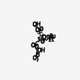 C=CC(=O)OCC(O)COC(=O)CCSCC(C)(CC(C)(C)C(=O)OCCO)OC(=O)CC(CC)CCCC